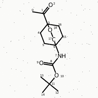 CC(=O)C12CCC(NC(=O)OC(C)(C)C)(CC1)CO2